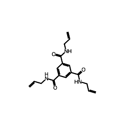 C=CCNC(=O)c1cc(C(=O)NCC=C)cc(C(=O)NCC=C)c1